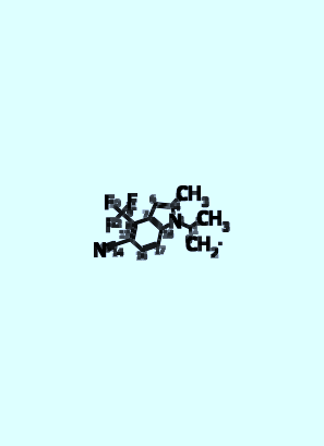 [CH2]C(C)n1c(C)cc2c(C(F)(F)F)c(C#N)ccc21